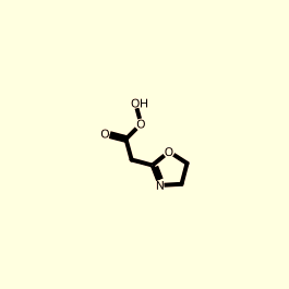 O=C(CC1=NCCO1)OO